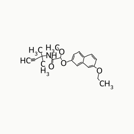 C#CC(C)(C)NC(=O)C(OC)Oc1ccc2ccc(OCC)cc2c1